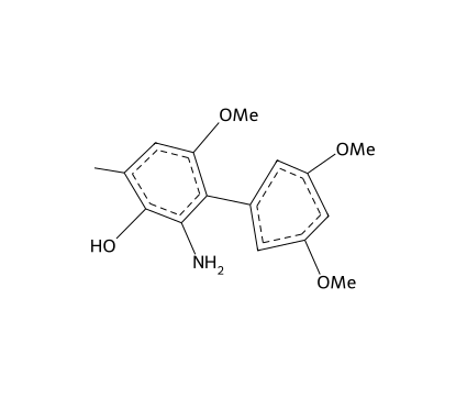 COc1cc(OC)cc(-c2c(OC)cc(C)c(O)c2N)c1